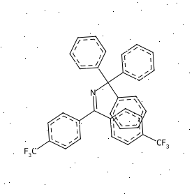 FC(F)(F)c1ccc(C(=NC(c2ccccc2)(c2ccccc2)c2ccccc2)c2ccc(C(F)(F)F)cc2)cc1